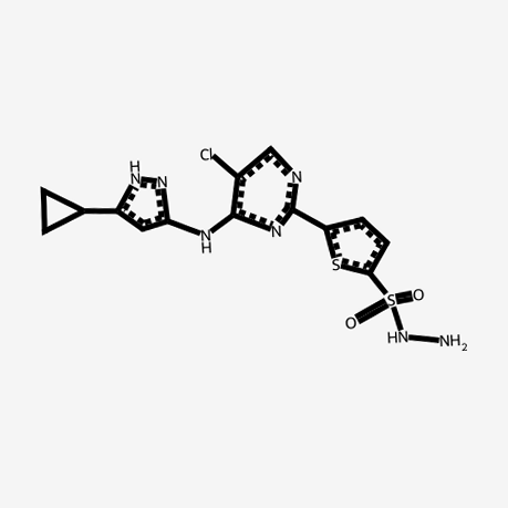 NNS(=O)(=O)c1ccc(-c2ncc(Cl)c(Nc3cc(C4CC4)[nH]n3)n2)s1